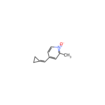 Cc1cc(C=C2CC2)cc[n+]1[O-]